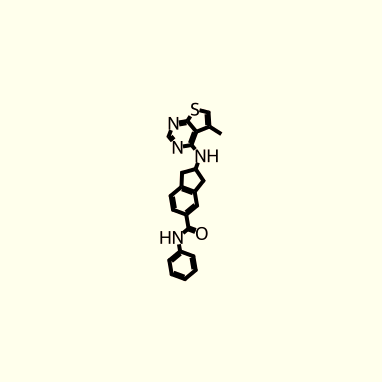 Cc1csc2ncnc(NC3Cc4ccc(C(=O)Nc5ccccc5)cc4C3)c12